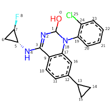 OC1N=C(N[C@@H]2C[C@H]2F)c2ccc(C3CC3)cc2N1c1ccccc1Cl